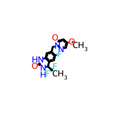 COc1cnn(Cc2cc3c(cc2F)C(C(C)(F)F)NC(=O)N3)c(=O)c1